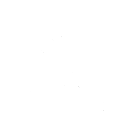 Cc1cc(-c2csc(N(C(=O)C(CC(=O)O)CC3CCCC3)C3CC3)n2)c(-c2ccc(N3CCCC3=O)nc2)o1